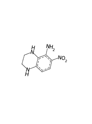 Nc1c([N+](=O)[O-])ccc2c1NCCN2